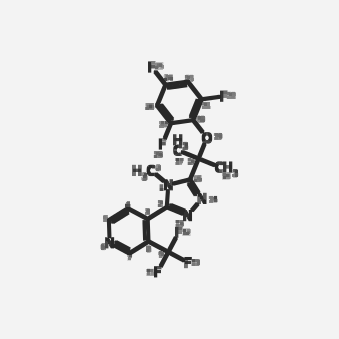 Cn1c(-c2ccncc2C(F)(F)F)nnc1C(C)(C)Oc1c(F)cc(F)cc1F